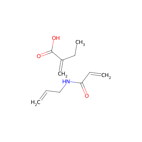 C=C(CC)C(=O)O.C=CCNC(=O)C=C